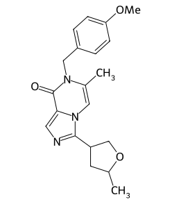 COc1ccc(Cn2c(C)cn3c(C4COC(C)C4)ncc3c2=O)cc1